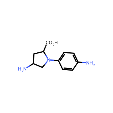 Nc1ccc(N2CC(N)CC2C(=O)O)cc1